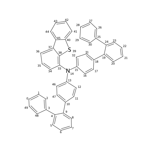 c1ccc(-c2ccccc2-c2ccc(N(c3ccc(-c4ccccc4-c4ccccc4)cc3)c3cccc4c3sc3ccccc34)cc2)cc1